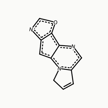 C1=Cc2cnc3c4ocnc4cc-3n2C1